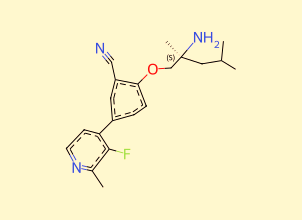 Cc1nccc(-c2ccc(OC[C@@](C)(N)CC(C)C)c(C#N)c2)c1F